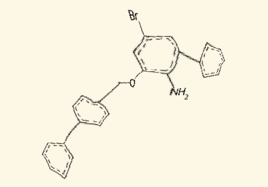 Nc1c(OCc2ccc(-c3ccccc3)cc2)cc(Br)cc1-c1ccccc1